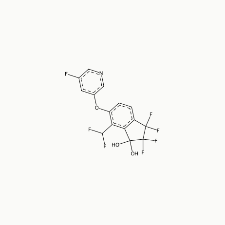 OC1(O)c2c(ccc(Oc3cncc(F)c3)c2C(F)F)C(F)(F)C1(F)F